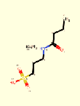 CCCC(=O)NCCCS(=O)(=O)O.[MgH2]